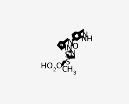 CC(CSc1cnc(NC(=O)N(CC2CCCC2)c2ccc3cn[nH]c3c2)s1)C(=O)O